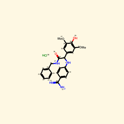 COc1cc(C(Nc2ccc(C(=N)N)cc2)C(=O)NCc2ccccc2)cc(OC)c1O.Cl